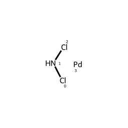 ClNCl.[Pd]